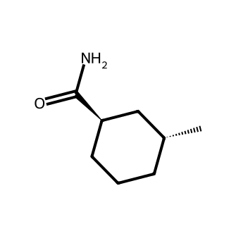 C[C@@H]1CCC[C@@H](C(N)=O)C1